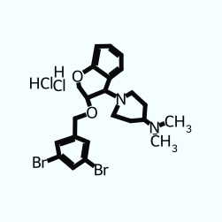 CN(C)C1CCN(C2c3ccccc3OCC2OCc2cc(Br)cc(Br)c2)CC1.Cl.Cl